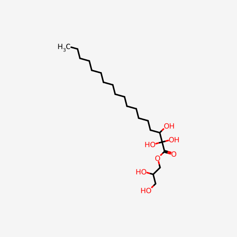 CCCCCCCCCCCCCCCC(O)C(O)(O)C(=O)OCC(O)CO